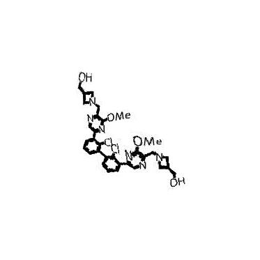 COc1nc(-c2cccc(-c3cccc(-c4cnc(CN5CC(CO)C5)c(OC)n4)c3Cl)c2Cl)cnc1CN1CC(CO)C1